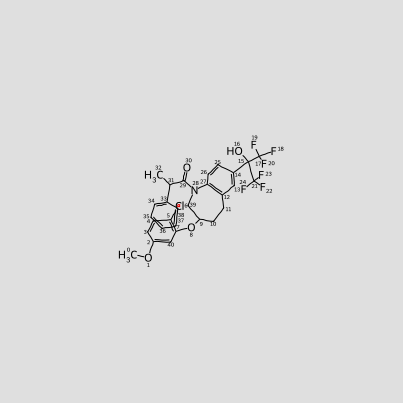 COc1ccc(Cl)c(OC2CCc3cc(C(O)(C(F)(F)F)C(F)(F)F)ccc3N(C(=O)C(C)c3ccccc3)C2)c1